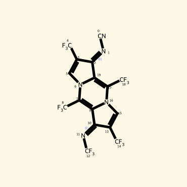 N#C/N=c1\c(C(F)(F)F)cn2c(C(F)(F)F)c3/c(=N/C(F)(F)F)c(C(F)(F)F)cn3c(C(F)(F)F)c12